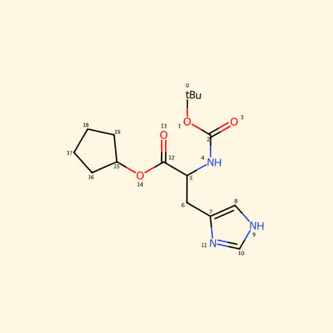 CC(C)(C)OC(=O)NC(Cc1c[nH]cn1)C(=O)OC1CCCC1